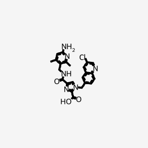 Cc1cc(N)nc(C)c1CNC(=O)c1cn(Cc2ccc3ncc(Cl)cc3c2)c(C(=O)O)n1